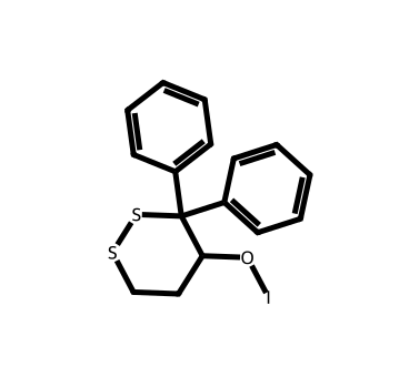 IOC1CCSSC1(c1ccccc1)c1ccccc1